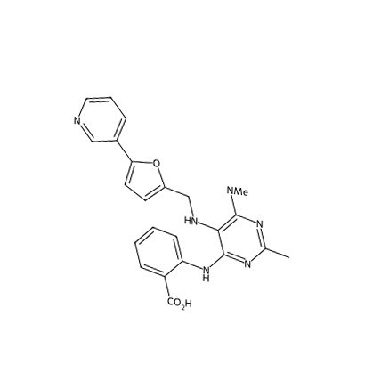 CNc1nc(C)nc(Nc2ccccc2C(=O)O)c1NCc1ccc(-c2cccnc2)o1